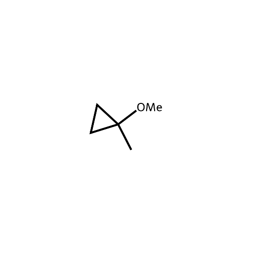 COC1(C)CC1